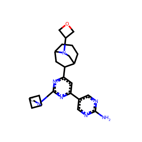 Nc1ncc(-c2cc(C3CC4CCCC3CN4C3COC3)nc(N3CC4CC3C4)n2)cn1